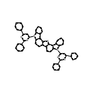 c1ccc(-c2cc(-n3c4ccccc4c4c5sc6c(ccc7c6c6ccccc6n7-c6cc(-c7ccccc7)nc(-c7ccccc7)n6)c5ccc43)nc(-c3ccccc3)n2)cc1